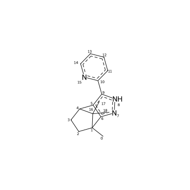 CC12CCC(c3c1n[nH]c3-c1ccccn1)C2(C)C